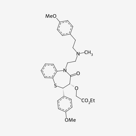 CCOC(=O)CO[C@H]1C(=O)N(CCN(C)CCc2ccc(OC)cc2)c2ccccc2S[C@H]1c1ccc(OC)cc1